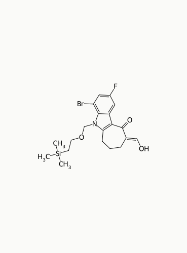 C[Si](C)(C)CCOCn1c2c(c3cc(F)cc(Br)c31)C(=O)C(=CO)CCC2